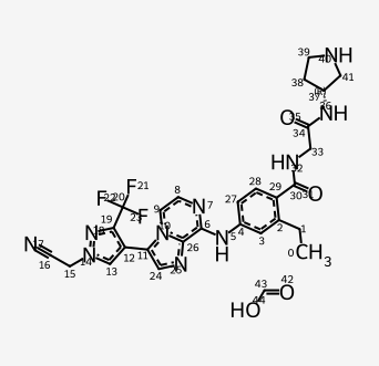 CCc1cc(Nc2nccn3c(-c4cn(CC#N)nc4C(F)(F)F)cnc23)ccc1C(=O)NCC(=O)N[C@@H]1CCNC1.O=CO